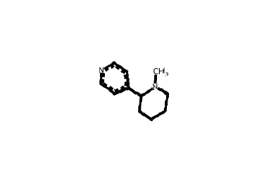 CN1CCCCC1c1ccncc1